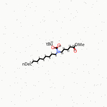 CCCCCCCCCCCCCCCCCCN(CCCCC(=O)OC)C(=O)OC(C)(C)C